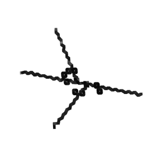 CCCCCCCCCCCCCC(=O)OCCN(CCOC(=O)CCCCCCCCCCCCC)CCN(CCOC(=O)CCCCCCCCCCCCC)CCOC(=O)CCCCCCCCCCCCC